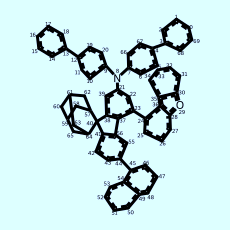 c1ccc(-c2ccc(N(c3ccc(-c4ccccc4)cc3)c3cc(-c4cccc5oc6ccccc6c45)c4c(c3)C3(c5ccc(-c6cccc7ccccc67)cc5-4)C4CC5CC(C4)CC3C5)cc2)cc1